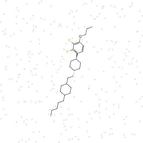 CCCCCC1CCC(CC[C@H]2CC[C@H](c3ccc(OCCC)c(F)c3F)CC2)CC1